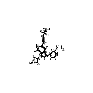 CN1CC(n2cc(-c3ccnc(N)n3)c3cc(C#CC(C)(C)O)ncc32)C1